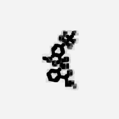 COc1ccc(S(=O)(=O)C(F)(F)F)cc1S(=O)(=O)Nc1ccccc1C(N)=O